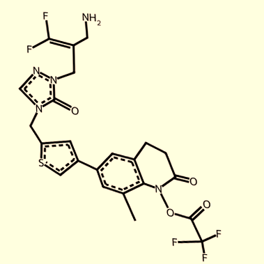 Cc1cc(-c2csc(Cn3cnn(CC(CN)=C(F)F)c3=O)c2)cc2c1N(OC(=O)C(F)(F)F)C(=O)CC2